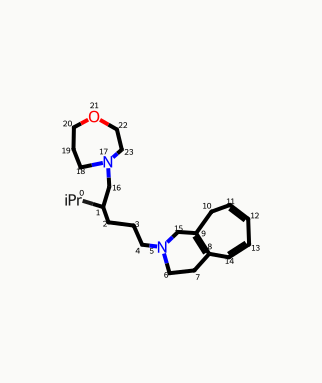 CC(C)C(CCCN1CCC2=C(CC=CC=C2)C1)CN1CCCOCC1